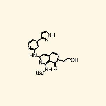 CC(C)(C)Nc1nc(Nc2cc(-c3cc[nH]n3)ccn2)cc2ccn(CCO)c(=O)c12